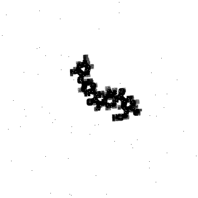 CC(C(=O)Nc1cnc(Oc2ccc(F)cc2F)cn1)N1CCN(C(=O)c2cc(CO)[n+]([O-])cn2)C(C)(C)C1